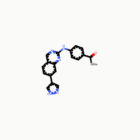 CNC(=O)c1ccc(Nc2ncc3ccc(-c4cn[nH]c4)cc3n2)cc1